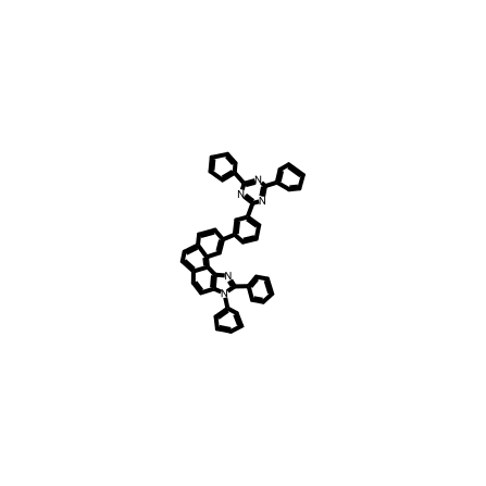 c1ccc(-c2nc(-c3ccccc3)nc(-c3cccc(-c4ccc5ccc6ccc7c(nc(-c8ccccc8)n7-c7ccccc7)c6c5c4)c3)n2)cc1